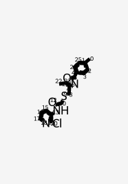 Cc1ccc(-c2nc(CSCC(=O)Nc3cccnc3Cl)c(C)o2)cc1